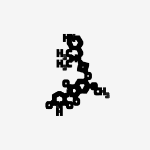 COc1cc2c(cc1OC1CC(N(CC3CCNCC3)C(C)C)C1)C(=O)N(C1CCC(=O)NC1=O)C2=O